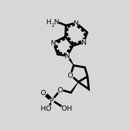 Nc1ncnc2c1ncn2[C@H]1CC2C[C@]2(COP(=O)(O)O)O1